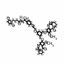 COc1cc2c(cc1OCc1cc(COc3cc4c(cc3OC)C(=O)N3CCCC[C@H]3C=N4)cc(OCCOc3ccc(C(C)=NNC(=O)CCCN4C(=O)C=CC4=O)cc3)c1)N=C[C@@H]1CCCCN1C2=O